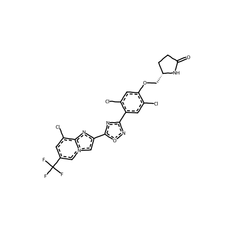 O=C1CC[C@@H](COc2cc(Cl)c(-c3noc(-c4cn5cc(C(F)(F)F)cc(Cl)c5n4)n3)cc2Cl)N1